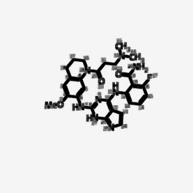 COc1cc2c(cc1Nc1nc(Nc3cccc(F)c3C(N)=O)c3ccnc-3[nH]1)N(C(=O)CCN(C)C)CCC2